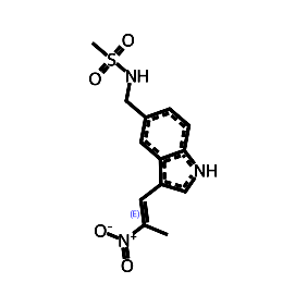 C/C(=C\c1c[nH]c2ccc(CNS(C)(=O)=O)cc12)[N+](=O)[O-]